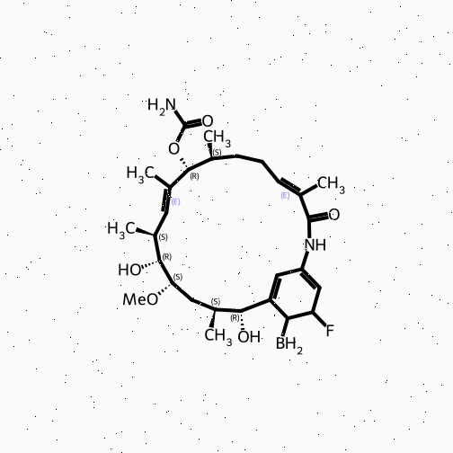 BC1C2=CC(=CC1F)NC(=O)/C(C)=C/CC[C@H](C)[C@@H](OC(N)=O)/C(C)=C/[C@H](C)[C@@H](O)[C@@H](OC)C[C@H](C)[C@H]2O